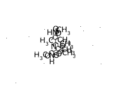 COc1ccc(-c2c3c(c(OC)c4cc(-c5c(C)cc(NS(C)(=O)=O)cc5C)cnc24)C(C)(C)CO3)c(=O)[nH]1